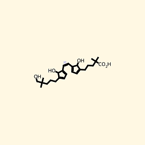 CC(C)(CO)CCCC1=CC=C(/C=C\C2=CC=C(CCCC(C)(C)C(=O)O)C2O)C1O